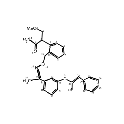 COCC(C(N)=O)c1ccccc1CON=C(C)c1cccc(OC(F)=Cc2ccccc2)c1